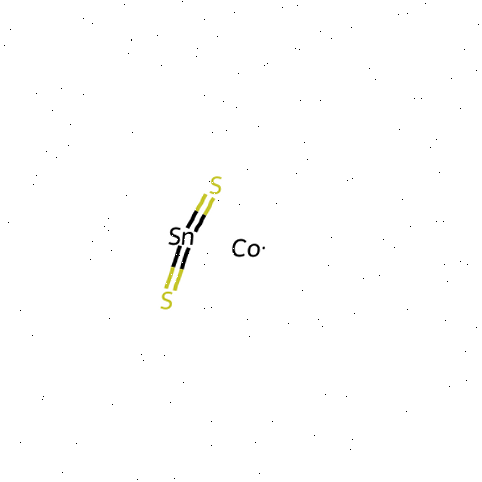 [Co].[S]=[Sn]=[S]